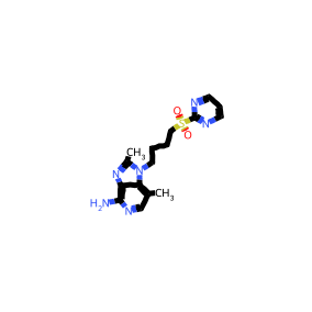 Cc1cnc(N)c2nc(C)n(CCCCS(=O)(=O)c3ncccn3)c12